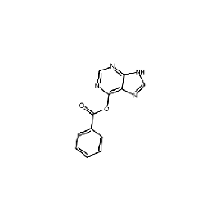 O=C(Oc1ncnc2[nH]cnc12)c1ccccc1